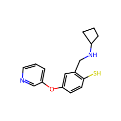 Sc1ccc(Oc2cccnc2)cc1CNC1CCC1